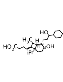 CC1C(=CCCC(=O)O)[C@]2(C(C)C)CC[C@H](O)[C@@H](CCC(O)C3CCCCC3)[C@H]12